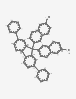 Oc1ccc2cc(C3(c4ccc5cc(O)ccc5c4)c4cc(-c5ccccc5)ccc4-c4ccc(-c5ccccc5)cc43)ccc2c1